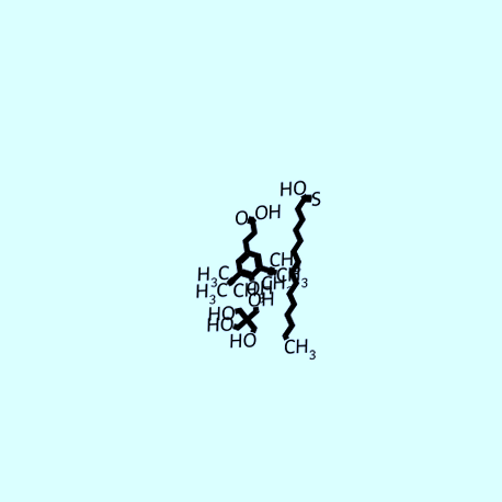 CC(C)(C)c1cc(CCC(=O)O)cc(C(C)(C)C)c1O.CCCCCCCCCCCCCCC(O)=S.OCC(CO)(CO)CO